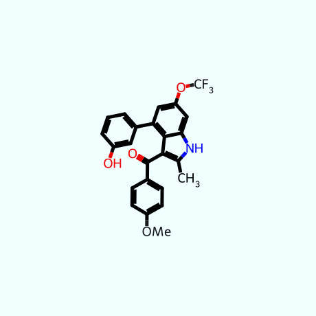 COc1ccc(C(=O)c2c(C)[nH]c3cc(OC(F)(F)F)cc(-c4cccc(O)c4)c23)cc1